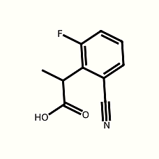 CC(C(=O)O)c1c(F)cccc1C#N